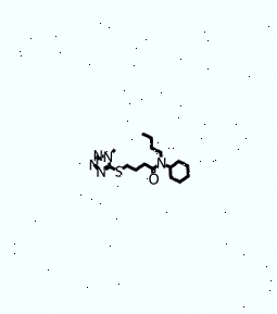 CCCCN(C(=O)CCCSc1nnnn1C)C1CCCCC1